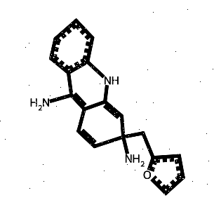 NC1=C2C=CC(N)(Cc3ccco3)C=C2Nc2ccccc21